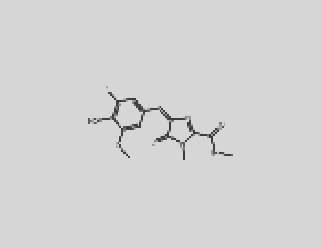 CNC(=O)C1=NC(=Cc2cc(F)c(O)c(OC)c2)C(=O)N1C